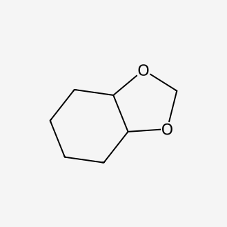 C1CCC2OCOC2C1